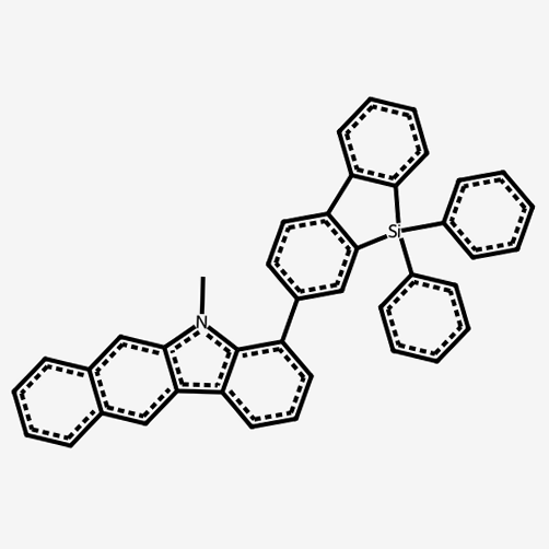 Cn1c2cc3ccccc3cc2c2cccc(-c3ccc4c(c3)[Si](c3ccccc3)(c3ccccc3)c3ccccc3-4)c21